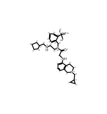 O=C(CNc1cccc2c1CCN(CC1CC1)C2)N(CCNCC1CCCC1)Cc1ccccc1C(F)(F)F